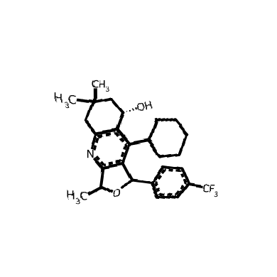 CC1OC(c2ccc(C(F)(F)F)cc2)c2c1nc1c(c2C2CCCCC2)[C@@H](O)CC(C)(C)C1